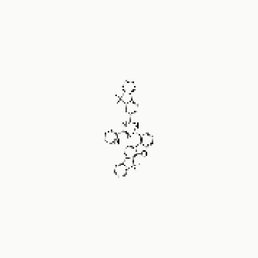 CC1(C)c2ccccc2-c2ccc(-c3nc(-c4ccccn4)nc(-c4cccc5oc6c7c(ccc6c45)-c4ccccc4C7(C)C)n3)cc21